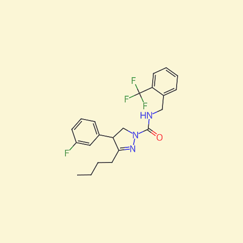 CCCCC1=NN(C(=O)NCc2ccccc2C(F)(F)F)CC1c1cccc(F)c1